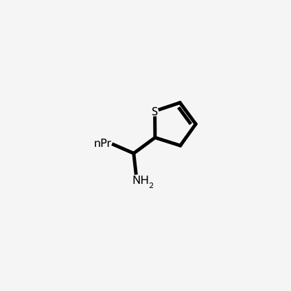 CCCC(N)C1CC=CS1